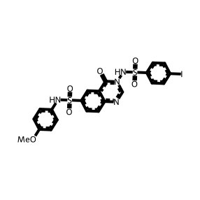 COc1ccc(NS(=O)(=O)c2ccc3ncn(NS(=O)(=O)c4ccc(I)cc4)c(=O)c3c2)cc1